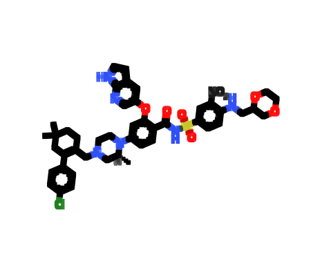 C[C@@H]1CN(CC2=C(c3ccc(Cl)cc3)CC(C)(C)CC2)CCN1c1ccc(C(=O)NS(=O)(=O)c2ccc(NCC3COCCO3)c([N+](=O)[O-])c2)c(Oc2cnc3[nH]ccc3c2)c1